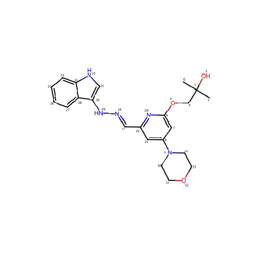 CC(C)(O)COc1cc(N2CCOCC2)cc(/C=N/Nc2c[nH]c3ccccc23)n1